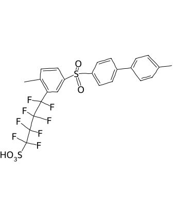 Cc1ccc(-c2ccc(S(=O)(=O)c3ccc(C)c(C(F)(F)C(F)(F)C(F)(F)C(F)(F)S(=O)(=O)O)c3)cc2)cc1